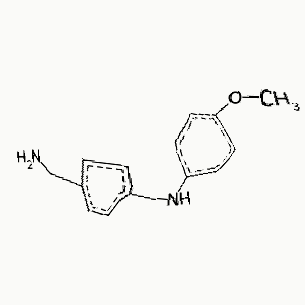 COc1ccc(Nc2ccc(CN)cc2)cc1